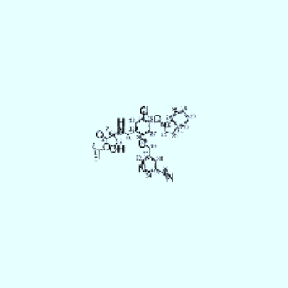 CC(C)OC(=O)[C@](C)(CO)NCc1cc(Cl)c(O[C@H]2CCc3ccccc32)cc1OCc1cncc(C#N)c1